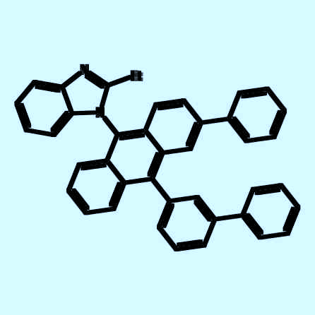 CCc1nc2ccccc2n1-c1c2ccccc2c(-c2cccc(-c3ccccc3)c2)c2cc(-c3ccccc3)ccc12